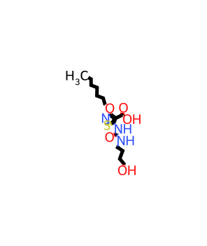 CCCCCCCOc1nsc(NC(=O)NCCCCO)c1C(=O)O